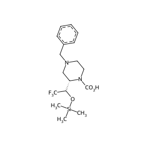 C[Si](C)(C)OC([C@@H]1CN(Cc2ccccc2)CCN1C(=O)O)C(F)(F)F